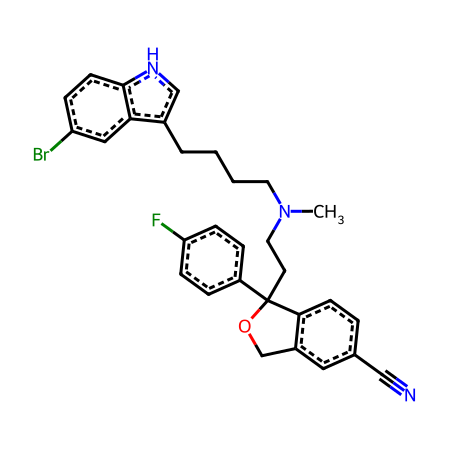 CN(CCCCc1c[nH]c2ccc(Br)cc12)CCC1(c2ccc(F)cc2)OCc2cc(C#N)ccc21